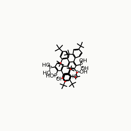 CC(C)(C)c1ccc(-c2c(-c3ccc(P(O)O)c(P(O)O)c3-c3ccc(C(C)(C)C)cc3C(C)(C)C)c(-c3ccc(C(C)(C)C)cc3C(C)(C)C)c(P(O)O)c(P(O)O)c2-c2ccc(C(C)(C)C)cc2C(C)(C)C)c(C(C)(C)C)c1